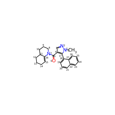 Cn1ncc(C(=O)N2CCCC3CCCC=C32)c1-c1cccc2ccccc12